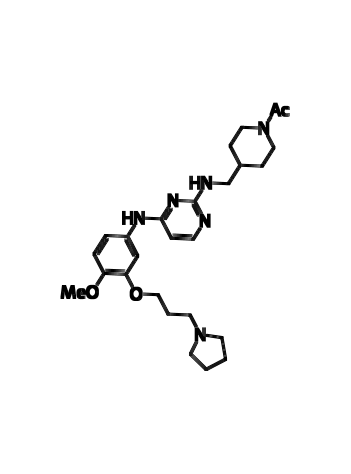 COc1ccc(Nc2ccnc(NCC3CCN(C(C)=O)CC3)n2)cc1OCCCN1CCCC1